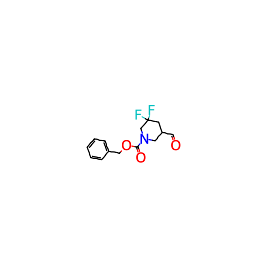 O=CC1CN(C(=O)OCc2ccccc2)CC(F)(F)C1